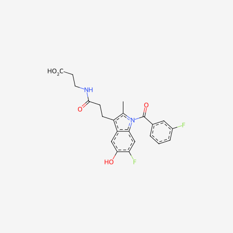 Cc1c(CCC(=O)NCCC(=O)O)c2cc(O)c(F)cc2n1C(=O)c1cccc(F)c1